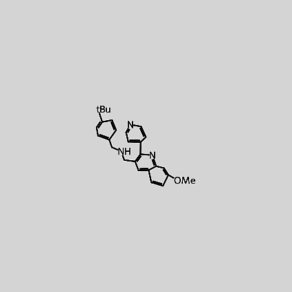 COc1ccc2cc(CNCc3ccc(C(C)(C)C)cc3)c(-c3ccncc3)nc2c1